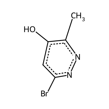 Cc1nnc(Br)cc1O